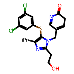 CC(C)c1nc(CCO)n(CC2=CCC(=O)N=C2)c1Sc1cc(Cl)cc(Cl)c1